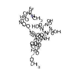 C/N=C/[C@H]1CC(F)(F)CN1C(=O)CNC(=O)c1ccnc2ccc(OCCCN3CCN(C(=O)[C@H](CC(=O)OC)NC(=O)[C@H](CCOCCNC(=O)CCCc4ccc(C)cc4)NC(=O)CN4CCN(CC(=O)O)CCN(CC(=O)O)CCN(CC(=O)O)CC4)CC3)cc12